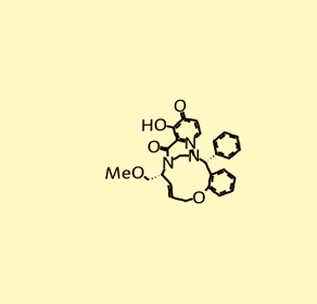 COC[C@H]1/C=C/COc2ccccc2[C@@H](c2ccccc2)N2CN1C(=O)c1c(O)c(=O)ccn12